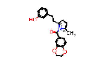 C[C@@H]1CC[C@H](CCc2cccc(O)c2)N1C(=O)c1ccc2c(c1)OCCO2